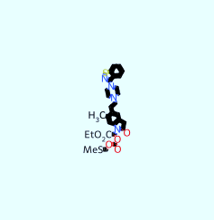 CCOC(=O)C(OC(=O)OCSC)N1C(=O)Cc2cc(CCN3CCN(c4nsc5ccccc45)CC3)c(C)cc21